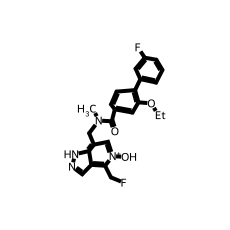 CCOc1cc(C(=O)N(C)Cc2c[n+](O)c(CF)c3cn[nH]c23)ccc1-c1cccc(F)c1